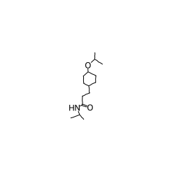 CC(C)NC(=O)CCC1CCC(OC(C)C)CC1